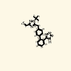 CC(C)(C)n1nc(C=S)nc1Cc1ccc(-c2ccccc2-c2nnn[nH]2)cc1